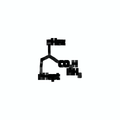 CCCCCCCCC(CCCCCC)C(=O)O.[InH3]